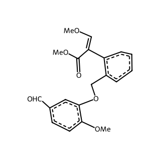 COC=C(C(=O)OC)c1ccccc1COc1cc(C=O)ccc1OC